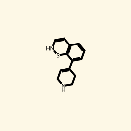 C1=Cc2cccc(C3=CCNCC3)c2SN1